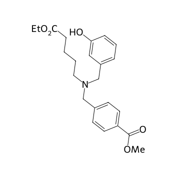 CCOC(=O)CCCCN(Cc1ccc(C(=O)OC)cc1)Cc1cccc(O)c1